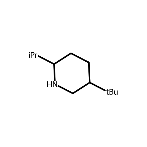 CC(C)C1CCC(C(C)(C)C)CN1